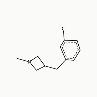 CN1CC(Cc2cccc(Cl)c2)C1